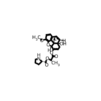 COc1ccc2c3c1O[C@H]1C(OC(=O)[C@H](C)OC(=O)[C@@H]4CCCN4)=CC[C@@]4(O)[C@H](CCC[C@]314)C2